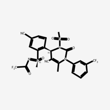 CC1=C(C#N)[C@@H](c2ccc(C#N)cc2[S@](C)(=O)=NC(=O)C(F)(F)F)N(S(C)(=O)=O)C(=O)N1c1cccc(C(F)(F)F)c1